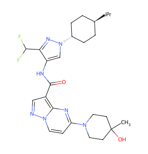 CC(C)[C@H]1CC[C@H](n2cc(NC(=O)c3cnn4ccc(N5CCC(C)(O)CC5)nc34)c(C(F)F)n2)CC1